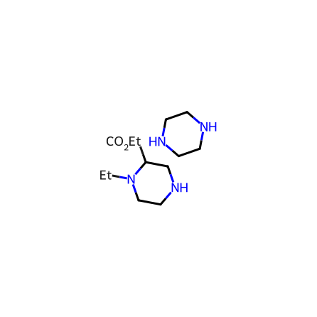 C1CNCCN1.CCOC(=O)C1CNCCN1CC